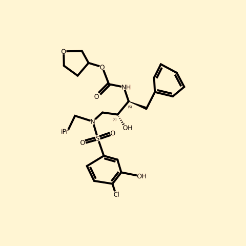 CC(C)CN(C[C@@H](O)[C@H](Cc1ccccc1)NC(=O)OC1CCOC1)S(=O)(=O)c1ccc(Cl)c(O)c1